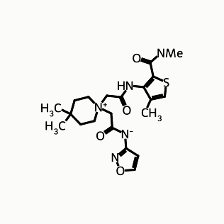 CNC(=O)c1scc(C)c1NC(=O)C[N+]1(CC(=O)[N-]c2ccon2)CCC(C)(C)CC1